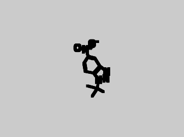 CC(C)(C)n1nnc2cc([N+](=O)[O-])ccc21